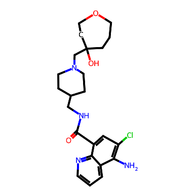 Nc1c(Cl)cc(C(=O)NCC2CCN(CC3(O)CCCOCC3)CC2)c2ncccc12